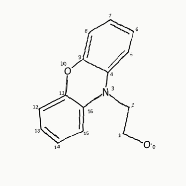 [O]CCN1c2ccccc2Oc2ccccc21